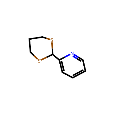 c1ccc(C2SCCCS2)nc1